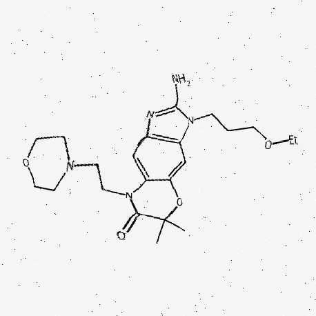 CCOCCCn1c(N)nc2cc3c(cc21)OC(C)(C)C(=O)N3CCN1CCOCC1